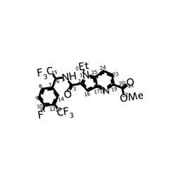 CCn1c(C(=O)NC(c2ccc(F)c(C(F)(F)F)c2)C(F)(F)F)cc2nc(C(=O)OC)ccc21